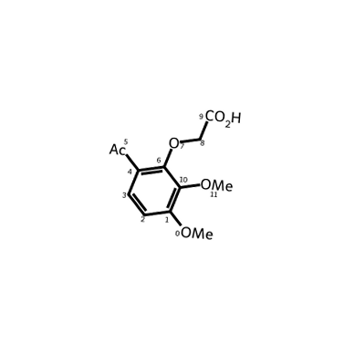 COc1ccc(C(C)=O)c(OCC(=O)O)c1OC